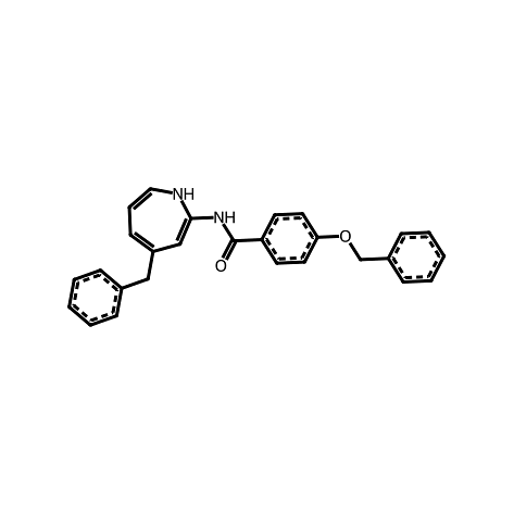 O=C(NC1=CC(Cc2ccccc2)=CC=CN1)c1ccc(OCc2ccccc2)cc1